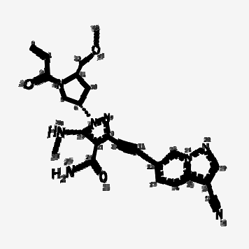 C=CC(=O)N1C[C@@H](n2nc(C#Cc3ccc4c(C#N)cnn4c3)c(C(N)=O)c2NC)C[C@@H]1COC